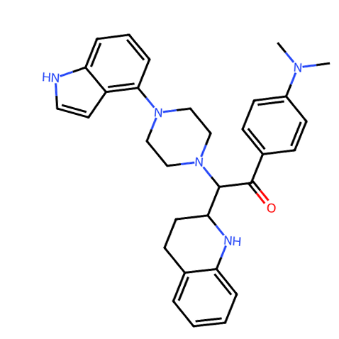 CN(C)c1ccc(C(=O)C(C2CCc3ccccc3N2)N2CCN(c3cccc4[nH]ccc34)CC2)cc1